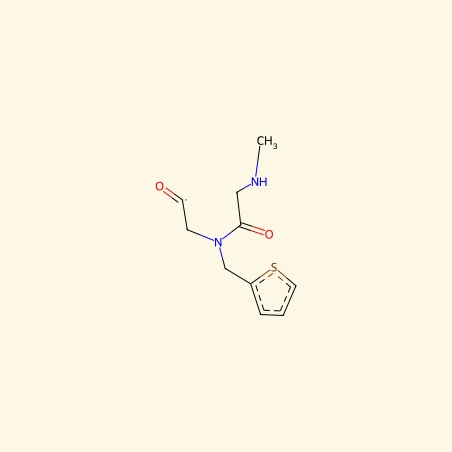 CNCC(=O)N(C[C]=O)Cc1cccs1